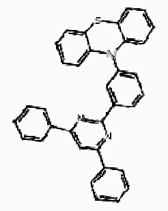 c1ccc(-c2cc(-c3ccccc3)nc(-c3cccc(N4c5ccccc5Sc5ccccc54)c3)n2)cc1